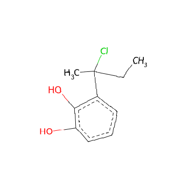 CCC(C)(Cl)c1cccc(O)c1O